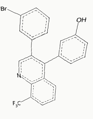 Oc1cccc(-c2c(-c3cccc(Br)c3)cnc3c(C(F)(F)F)cccc23)c1